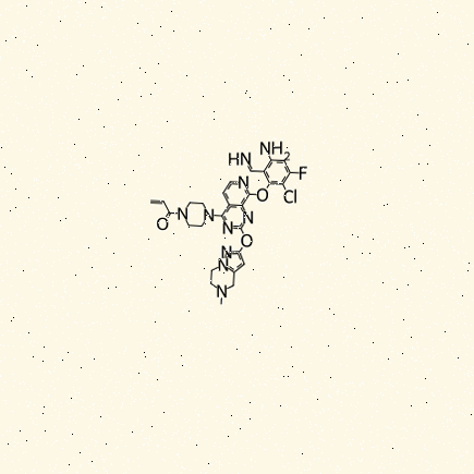 C=CC(=O)N1CCN(c2nc(Oc3cc4n(n3)CCN(C)C4)nc3c(Oc4c(Cl)c(F)cc(N)c4C=N)nccc23)CC1